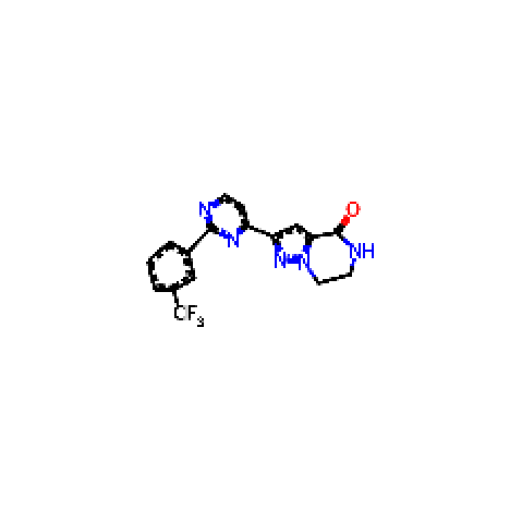 O=C1NCCn2nc(-c3ccnc(-c4cccc(C(F)(F)F)c4)n3)cc21